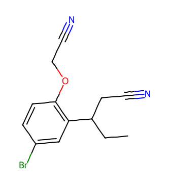 CCC(CC#N)c1cc(Br)ccc1OCC#N